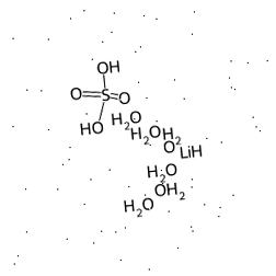 O.O.O.O.O.O.O=S(=O)(O)O.[LiH]